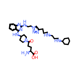 NC(CCC(=O)N1CCC(Nc2nc(NCCn3cc(CCCNCCCNC4CCCCC4)nn3)nc3ccccc23)CC1)C(=O)O